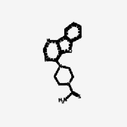 NC(=S)N1CCN(c2ncnc3c2oc2ccccc23)CC1